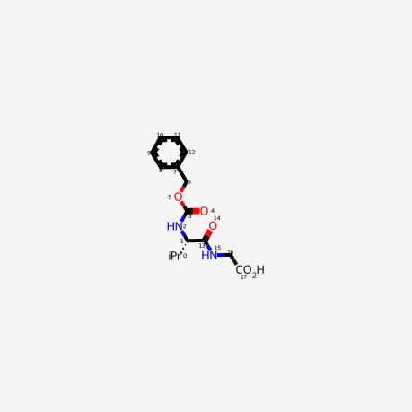 CC(C)[C@H](NC(=O)OCc1ccccc1)C(=O)NCC(=O)O